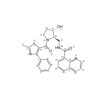 Cc1nc(-c2ccccc2)c(C(=O)N2CC[C@H](O)[C@H]2CNC(=O)c2cccc3cccnc23)s1